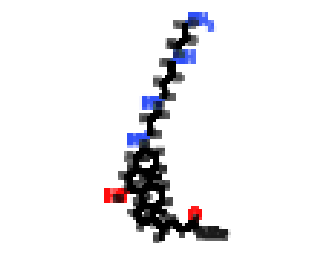 CNC(=O)CC[C@@H](C)C1CCC2C3C(CC[C@@]21C)[C@@]1(C)CC[C@H](NCCCNCCCCNCCCN)CC1C[C@H]3O